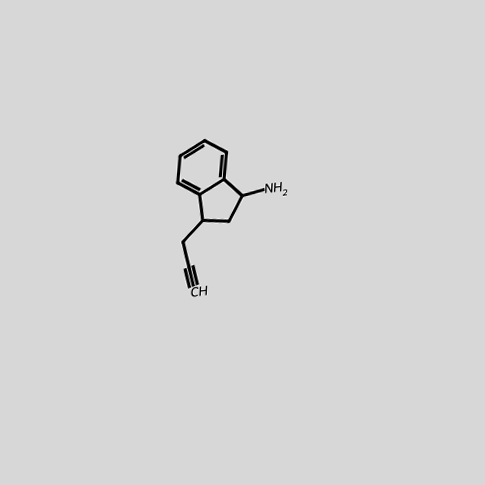 C#CCC1CC(N)c2ccccc21